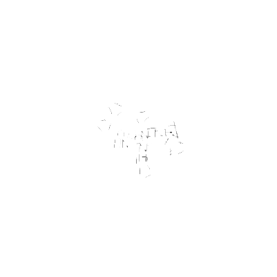 O=C(NC(Cc1ccc2ccccc2c1)C(=O)N[C@H](Cc1c[nH]c2ccccc12)c1nc(-c2ccccc2)c[nH]1)OCC1c2ccccc2-c2ccccc21